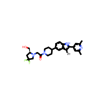 Cc1cc(-c2[nH]c3ccc(C4CCN(C(=O)CN5CC(F)(F)C[C@H]5CO)CC4)cc3c2C(C)C)cc(C)n1